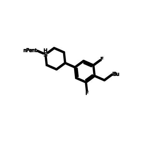 CCCCC[SiH]1CCC(c2cc(F)c(CC(C)CC)c(F)c2)CC1